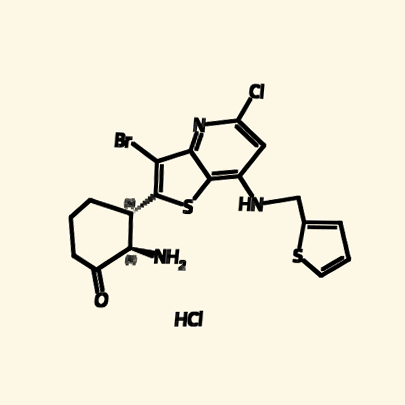 Cl.N[C@H]1C(=O)CCC[C@@H]1c1sc2c(NCc3cccs3)cc(Cl)nc2c1Br